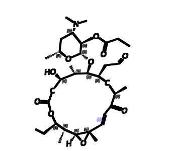 CCC(=O)O[C@H]1[C@H](O[C@H]2[C@@H](CC=O)C[C@@H](C)C(=O)/C=C/[C@]3(C)O[C@H]3[C@H](C)[C@@H](CC)OC(=O)C[C@@H](O)[C@@H]2C)O[C@H](C)C[C@@H]1N(C)C